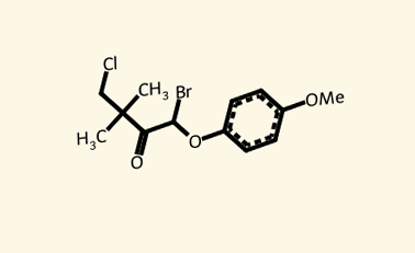 COc1ccc(OC(Br)C(=O)C(C)(C)CCl)cc1